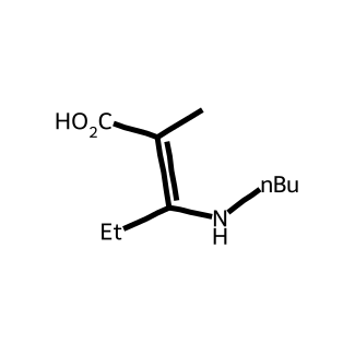 CCCCNC(CC)=C(C)C(=O)O